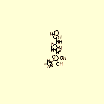 Cc1noc([C@H]2O[C@@H](n3cnc4c(N[C@@H]5C[C@@H]6CCC[C@@H]65)ncnc43)[C@H](O)[C@@H]2O)n1